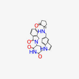 O=C1CCC(N2Cc3cc(O[C@H]4CCC[C@@H]4NCc4ccc5[nH]ccc5c4)ccc3C2=O)C(=O)N1